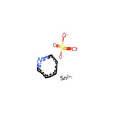 O=S(=O)([O-])[O-].[Sn+2].c1ccncc1